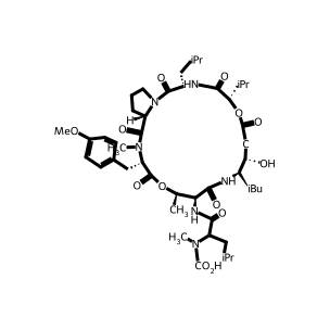 CC[C@H](C)[C@H]1NC(=O)[C@@H](NC(=O)C(CC(C)C)N(C)C(=O)O)[C@@H](C)OC(=O)[C@H](Cc2ccc(OC)cc2)N(C)C(=O)[C@@H]2CCCN2C(=O)[C@H](CC(C)C)NC(=O)[C@H](C(C)C)OC(=O)C[C@@H]1O